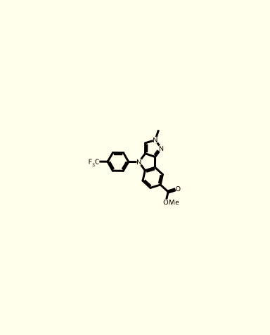 COC(=O)c1ccc2c(c1)c1nn(C)cc1n2-c1ccc(C(F)(F)F)cc1